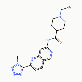 CC(C)CN1CCC(C(=O)Nc2cc3nc(-c4nnnn4C)ccc3cn2)CC1